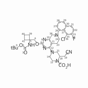 CC(C)(C)OC(=O)NC1(COc2nc3c(c(N4CCN(C(=O)O)C(CC#N)C4)n2)CCN(c2cccc4ccc(F)c(Cl)c24)C3)CCC1